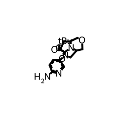 CC(C)(C)OC(=O)N1C2COCC1CN(c1ccc(N)nc1)C(=O)C2